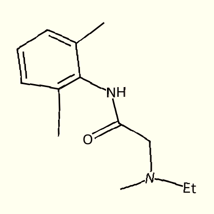 CCN(C)CC(=O)Nc1c(C)cccc1C